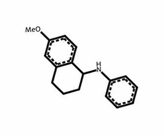 COc1ccc2c(c1)CCCC2Nc1ccccc1